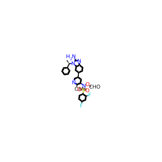 COc1ncc(-c2ccc3nc(N)n([C@H](C)c4ccccc4)c3c2)cc1N(OC=O)S(=O)(=O)c1ccc(F)cc1F